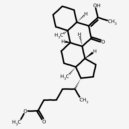 COC(=O)CCCC(C)[C@H]1CC[C@H]2[C@@H]3C(=O)C(=C(C)O)[C@@H]4CCCC[C@]4(C)[C@H]3CC[C@]12C